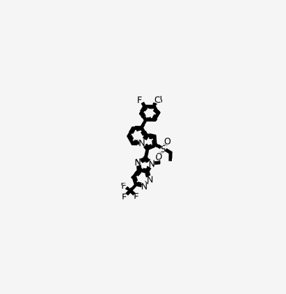 CCS(=O)(=O)c1cc2c(-c3ccc(Cl)c(F)c3)cccn2c1-c1nc2cc(C(F)(F)F)nnc2n1C